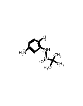 CC(C)(C)[S+]([O-])Nc1cc(N)ccc1Cl